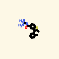 Cc1ccccc1-c1c(C)sc2ccc(C(=O)N=C(N)N)cc12